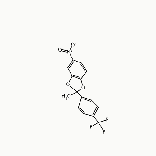 CC1(c2ccc(C(F)(F)F)cc2)Oc2ccc([N+](=O)[O-])cc2O1